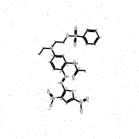 CCN(CCOS(=O)(=O)c1ccccc1)c1ccc(N=Nc2sc([N+](=O)[O-])cc2[N+](=O)[O-])c(NC(C)=O)c1